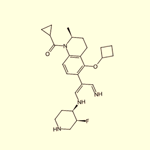 C[C@H]1CCc2c(ccc(/C(C=N)=C/N[C@@H]3CCNC[C@@H]3F)c2OC2CCC2)N1C(=O)C1CC1